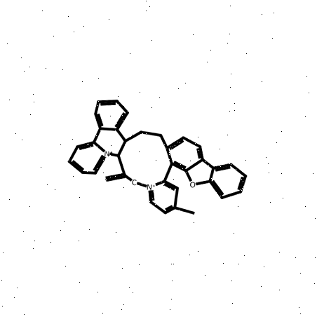 C=C1C[n+]2ccc(C)cc2-c2c(ccc3c2oc2ccccc23)CCC2c3ccccc3-c3cccc[n+]3C12